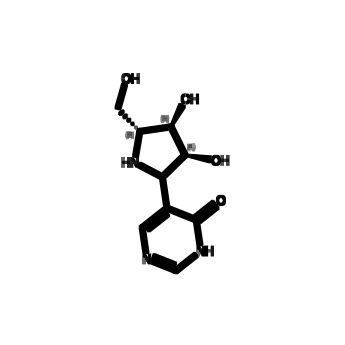 O=c1[nH]cncc1C1N[C@H](CO)[C@@H](O)[C@H]1O